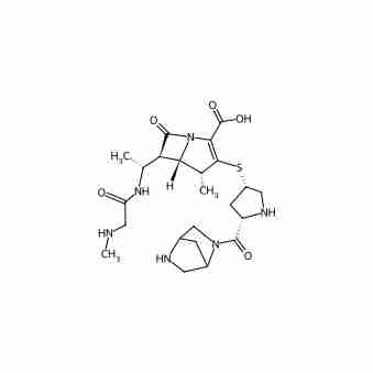 CNCC(=O)N[C@H](C)[C@H]1C(=O)N2C(C(=O)O)=C(S[C@@H]3CN[C@H](C(=O)N4CC5CC4CN5)C3)[C@H](C)[C@H]12